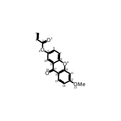 C=CC(=O)Oc1ccc2oc3cc(OC)ccc3c(=O)c2c1